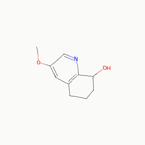 COc1cnc2c(c1)CCCC2O